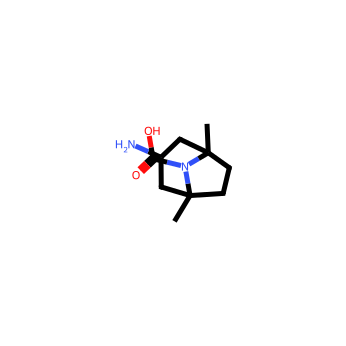 CC12CCC(C)(CC(N)C1)N2C(=O)O